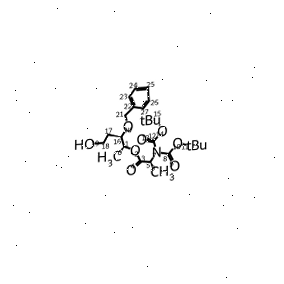 C[C@H](OC(=O)[C@H](C)N(C(=O)OC(C)(C)C)C(=O)OC(C)(C)C)[C@@H](CCO)OCc1ccccc1